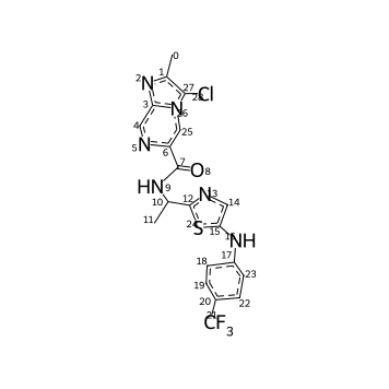 Cc1nc2cnc(C(=O)NC(C)c3ncc(Nc4ccc(C(F)(F)F)cc4)s3)cn2c1Cl